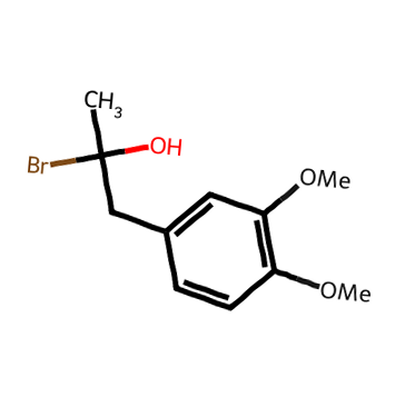 COc1ccc(CC(C)(O)Br)cc1OC